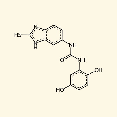 O=C(Nc1ccc2nc(S)[nH]c2c1)Nc1cc(O)ccc1O